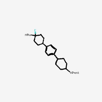 CCCCCC1CCC(c2ccc(C3CCC(F)(CCCC)CC3)cc2)CC1